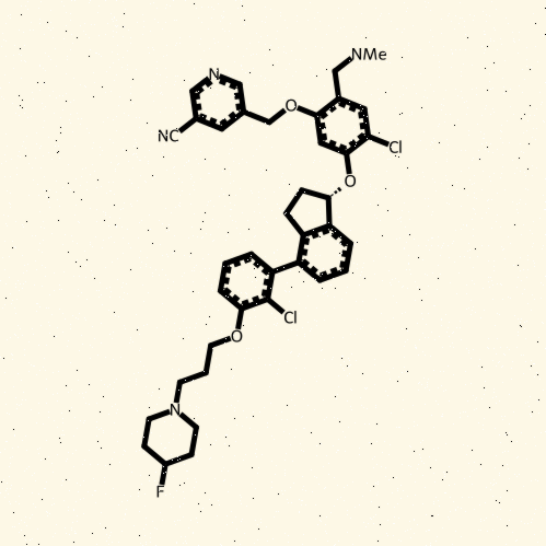 CNCc1cc(Cl)c(O[C@H]2CCc3c(-c4cccc(OCCCN5CCC(F)CC5)c4Cl)cccc32)cc1OCc1cncc(C#N)c1